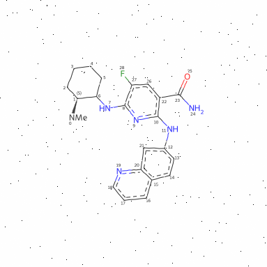 CN[C@H]1CCCCC1Nc1nc(Nc2ccc3cccnc3c2)c(C(N)=O)cc1F